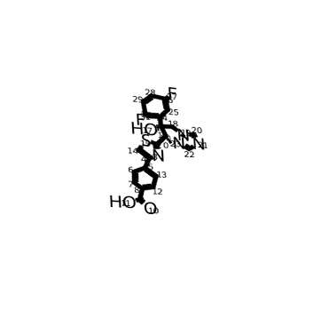 C[C@@H](c1nc(-c2ccc(C(=O)O)cc2)cs1)[C@](O)(Cn1cncn1)c1cc(F)ccc1F